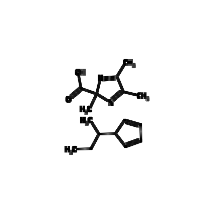 CC1=NC(C)(C(=O)O)N=C1C.CCC(C)C1C=CC=C1